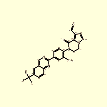 Cc1cc(-c2ncc3cc(C(F)(F)F)ccc3n2)ccc1N1CCn2ncc(C=O)c2C1=O